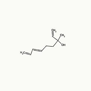 C=C/C=C/CCC(C)(O)C=C